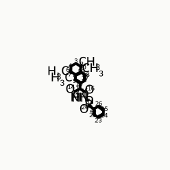 CC1(C)CCC(C)(C)c2cc(C(C(N)=O)C(=O)NOC(=O)c3ccccc3)ccc21